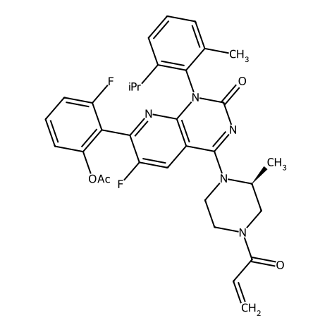 C=CC(=O)N1CCN(c2nc(=O)n(-c3c(C)cccc3C(C)C)c3nc(-c4c(F)cccc4OC(C)=O)c(F)cc23)[C@@H](C)C1